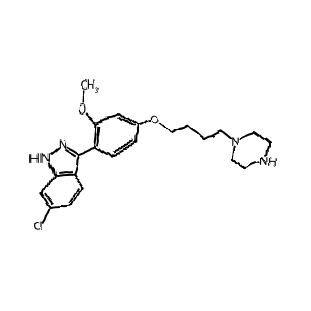 COc1cc(OCCCCN2CCNCC2)ccc1-c1n[nH]c2cc(Cl)ccc12